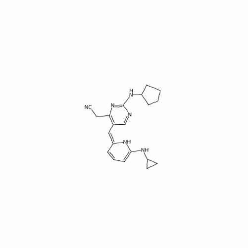 N#CCc1nc(NC2CCCC2)ncc1C=C1C=CC=C(NC2CC2)N1